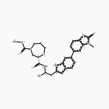 Cn1c(=O)oc2ccc(-c3ccc4cc(CC(C#N)NC(=O)[C@@H]5CN(C(=O)OC(C)(C)C)CCCO5)[nH]c4c3)cc21